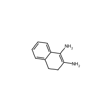 NC1=C(N)c2ccccc2CC1